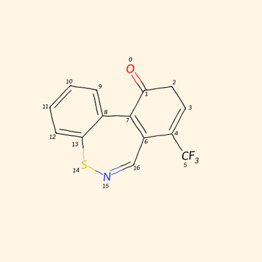 O=C1CC=C(C(F)(F)F)C2=C1c1ccccc1SN=C2